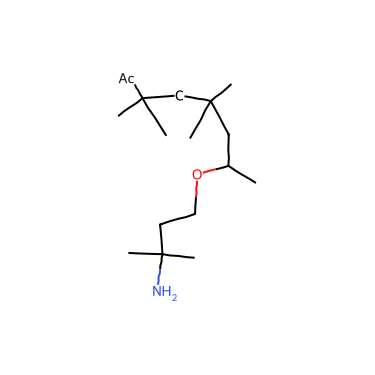 CC(=O)C(C)(C)CC(C)(C)CC(C)OCCC(C)(C)N